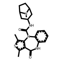 Cc1sc(C)c2c1C(=O)Nc1ccccc1N2C(=O)NC1CC2CCC(C1)N2C